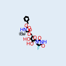 CC[C@H](C)[C@H](NC(=O)OCc1ccccc1)C(=O)OC[C@H]1O[C@@H](n2cc(F)c(=O)[nH]c2=O)[C@H](O)[C@@H]1O